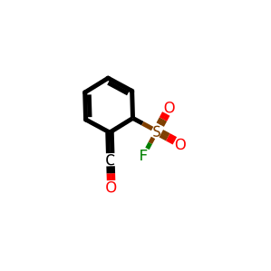 O=C=C1C=CC=CC1S(=O)(=O)F